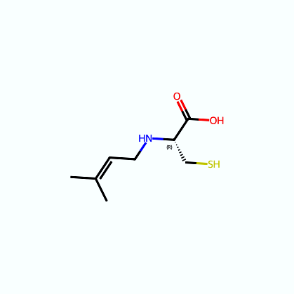 CC(C)=CCN[C@@H](CS)C(=O)O